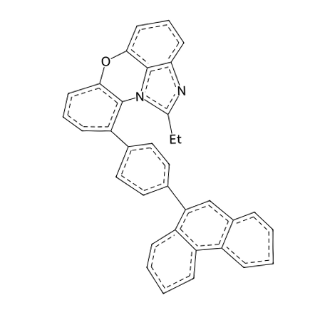 CCc1nc2cccc3c2n1-c1c(cccc1-c1ccc(-c2cc4ccccc4c4ccccc24)cc1)O3